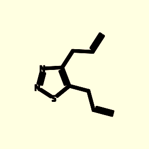 C=CCc1nnsc1CC=C